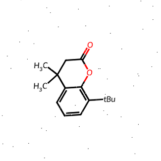 CC(C)(C)c1cccc2c1OC(=O)CC2(C)C